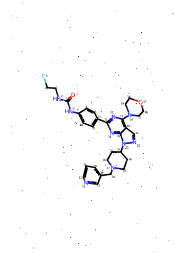 O=C(NCCF)Nc1ccc(-c2nc(N3CCOCC3)c3cnn(C4CCN(Cc5cccnc5)CC4)c3n2)cc1